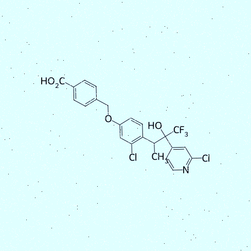 CC(c1ccc(OCc2ccc(C(=O)O)cc2)cc1Cl)C(O)(c1ccnc(Cl)c1)C(F)(F)F